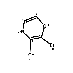 CCC1=C(C)[N]C=CO1